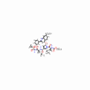 C=CC1C[C@@]1(NC(=O)OC(C)(C)C)C(=O)N1C[C@H](C(=O)N[C@]2(C(=O)NS(=O)(=O)C3CC3)C[C@H]2C=C)C[C@@H]1Oc1cc(-c2ccccc2)nc2cc(OC)ccc12